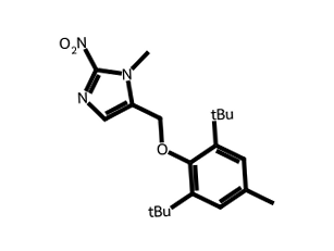 Cc1cc(C(C)(C)C)c(OCc2cnc([N+](=O)[O-])n2C)c(C(C)(C)C)c1